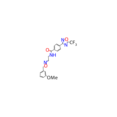 COc1cccc(CON=CCNC(=O)c2ccc(-c3noc(C(F)(F)F)n3)cc2)c1